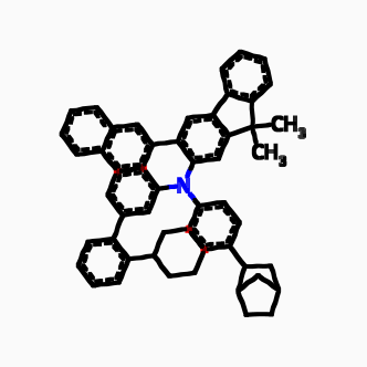 CC1(C)c2ccccc2-c2cc(-c3ccc4ccccc4c3)c(N(c3ccc(C4CC5CCC4C5)cc3)c3cccc(-c4ccccc4C4CCCCC4)c3)cc21